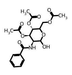 CC(=O)OCC1OC(O)[C@@H](NC(=O)c2ccccc2)[C@@H](OC(C)=O)[C@@H]1OC(C)=O